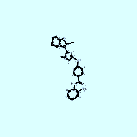 Cc1nc2ccccn2c1-c1nc(Nc2ccc(C(=O)Nc3ccccc3N)cc2)sc1C